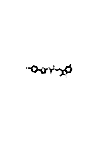 Cc1[nH]c2ccc(I)cc2c1CCNC(=O)Oc1ccc(-c2ccc(Cl)cc2)o1